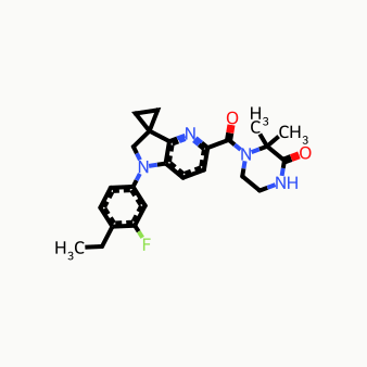 CCc1ccc(N2CC3(CC3)c3nc(C(=O)N4CCNC(=O)C4(C)C)ccc32)cc1F